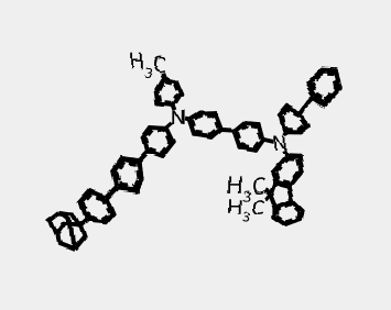 Cc1ccc(N(c2ccc(-c3ccc(-c4ccc(C56CC7CC(CC(C7)C5)C6)cc4)cc3)cc2)c2ccc(-c3ccc(N(c4ccc(-c5ccccc5)cc4)c4ccc5c(c4)C(C)(C)c4ccccc4-5)cc3)cc2)cc1